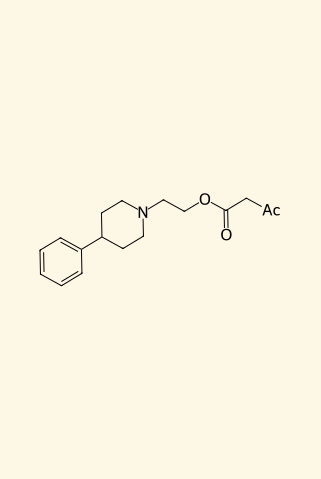 CC(=O)CC(=O)OCCN1CCC(c2ccccc2)CC1